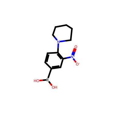 O=[N+]([O-])c1cc(B(O)O)ccc1N1CCCCC1